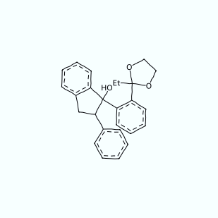 CCC1(c2ccccc2C2(O)c3ccccc3CC2c2ccccc2)OCCO1